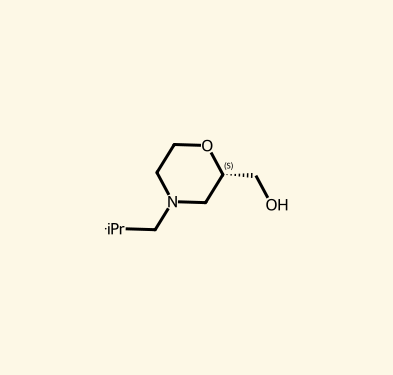 C[C](C)CN1CCO[C@H](CO)C1